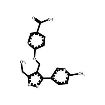 CCc1onc(-c2ccc(C)nc2)c1COc1ccc(C(=O)O)cn1